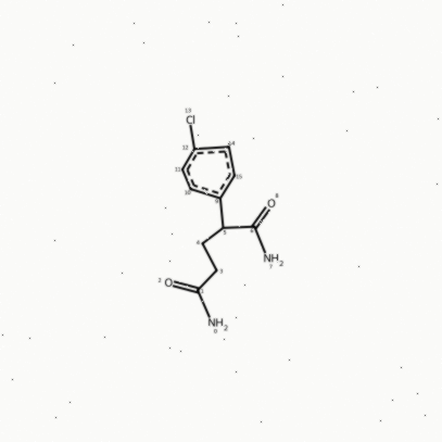 NC(=O)CCC(C(N)=O)c1ccc(Cl)cc1